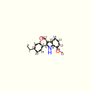 CCc1ccc(-c2[nH]c3c(OC)cccc3c2C=O)cc1